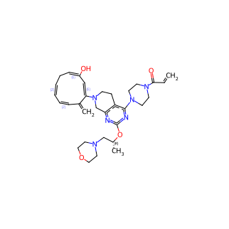 C=CC(=O)N1CCN(c2nc(O[C@H](C)CN3CCOCC3)nc3c2CCN(/C2=C/C(O)=C\C/C=C\C=C/C2=C)C3)CC1